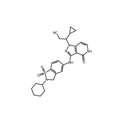 N#CCC(C1CC1)n1nc(Nc2ccc3c(c2)CN(C2CCCCC2)S3(=O)=O)c2c(=O)[nH]ccc21